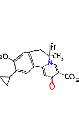 COc1cc2c(cc1C1CC1)-c1cc(=O)c(C(=O)O)cn1C(C)(C(C)C)C2